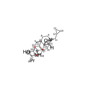 CC(C)C(=O)N[C@H]1CC[C@]23CCN(CC4CC4)[C@H](Cc4ccc(O)cc42)[C@]3(O)C1